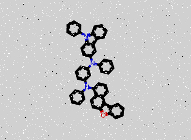 c1ccc(N(c2cccc(N(c3ccccc3)c3cccc4c3ccc3oc5ccccc5c34)c2)c2ccc3c(c2)c2ccccc2n3-c2ccccc2)cc1